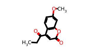 CCC(=O)c1cc(=O)oc2cc(OC)ccc12